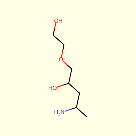 CC(N)CC(O)COCCO